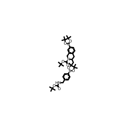 CC(C)(C)OC(=O)NCc1ccc(B2OC(C)(C)C(C)(CC3Cc4ccc(B5OC(C)(C)C(C)(C)O5)cc4CN3C(=O)OC(C)(C)C)O2)cc1